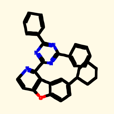 c1ccc(-c2nc(-c3ccccc3)nc(-c3nccc4oc5ccc(C6CCCCC6)cc5c34)n2)cc1